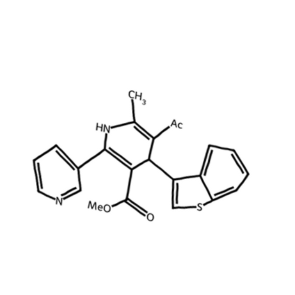 COC(=O)C1=C(c2cccnc2)NC(C)=C(C(C)=O)C1c1csc2ccccc12